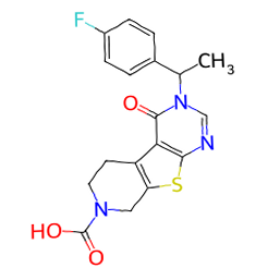 CC(c1ccc(F)cc1)n1cnc2sc3c(c2c1=O)CCN(C(=O)O)C3